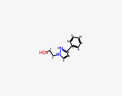 OCCn1ccc(-c2ccccc2)n1